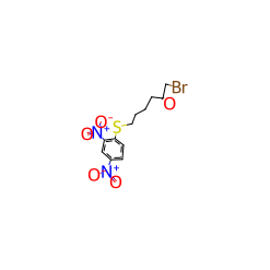 O=C(CBr)CCCCSc1ccc([N+](=O)[O-])cc1[N+](=O)[O-]